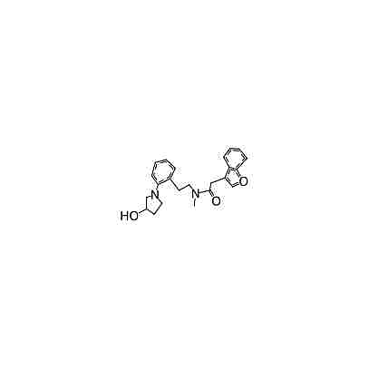 CN(CCc1ccccc1N1CCC(O)C1)C(=O)Cc1coc2ccccc12